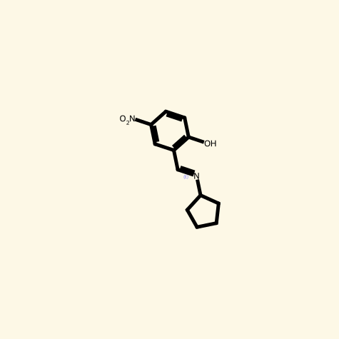 O=[N+]([O-])c1ccc(O)c(/C=N/C2CCCC2)c1